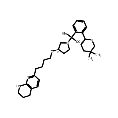 CC1(C)CCC(c2ccccc2C(C(=O)O)(N2CC[C@@H](OCCCCc3ccc4c(n3)NCCC4)C2)C(C)(C)C)OC1